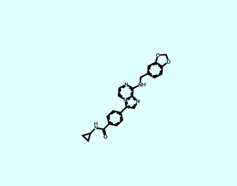 O=C(NC1CC1)c1ccc(-c2cnc3c(NCc4ccc5c(c4)OCO5)nccn23)cc1